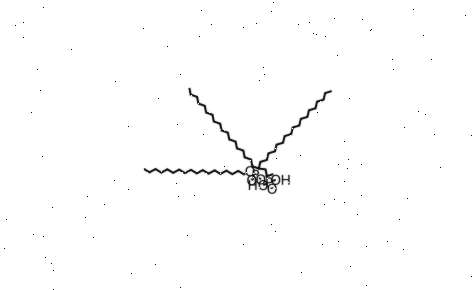 CCCCCCCCCCCCCCCCCCOP1(=O)OC(C)(P(=O)(O)O)CC1(CCCCCCCCCCCCCCCCCC)CCCCCCCCCCCCCCCCCC